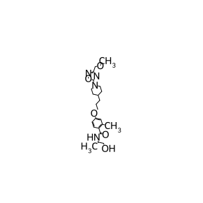 COCc1noc(N2CCC(CCCOc3ccc(C(=O)N[C@H](C)CO)c(C)c3)CC2)n1